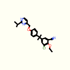 CCOc1c(Cl)cc(C(C)(C)c2ccc(OCc3ccnc(C(C)C)n3)cc2)cc1C#N